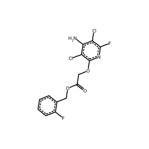 Nc1c(Cl)c(F)nc(OCC(=O)OCc2ccccc2F)c1Cl